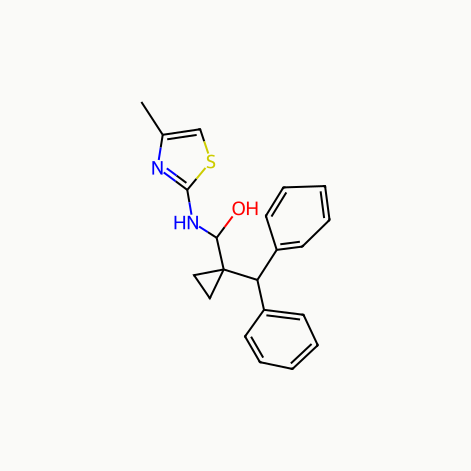 Cc1csc(NC(O)C2(C(c3ccccc3)c3ccccc3)CC2)n1